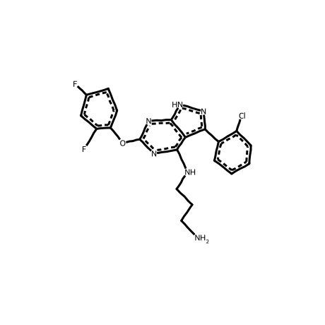 NCCCNc1nc(Oc2ccc(F)cc2F)nc2[nH]nc(-c3ccccc3Cl)c12